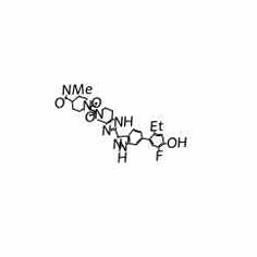 CCc1cc(O)c(F)cc1-c1ccc2c(-c3nc4c([nH]3)CCN(S(=O)(=O)N3CCC(C(=O)NC)CC3)C4)n[nH]c2c1